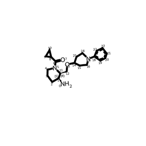 N[C@H]1CCCN(C(=O)C2CC2)[C@H]1COC1CCN(c2ccccc2)CC1